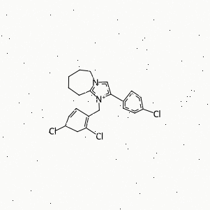 ClC1=C(C[n+]2c(-c3ccc(Cl)cc3)cn3c2CCCCC3)C=CC(Cl)C1